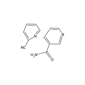 N#Cc1ccccn1.NC(=O)c1cccnc1